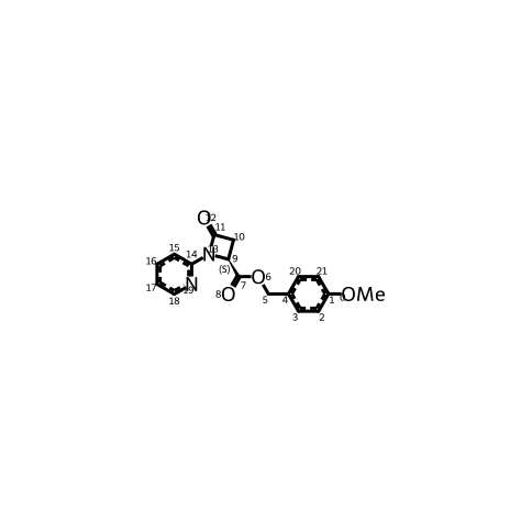 COc1ccc(COC(=O)[C@@H]2CC(=O)N2c2ccccn2)cc1